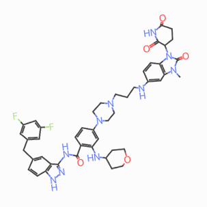 Cn1c(=O)n(C2CCC(=O)NC2=O)c2ccc(NCCCN3CCN(c4ccc(C(=O)Nc5n[nH]c6ccc(Cc7cc(F)cc(F)c7)cc56)c(NC5CCOCC5)c4)CC3)cc21